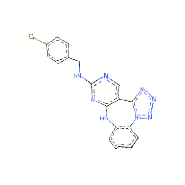 Clc1ccc(CNc2ncc3c(n2)Nc2ccccc2-n2nnnc2-3)cc1